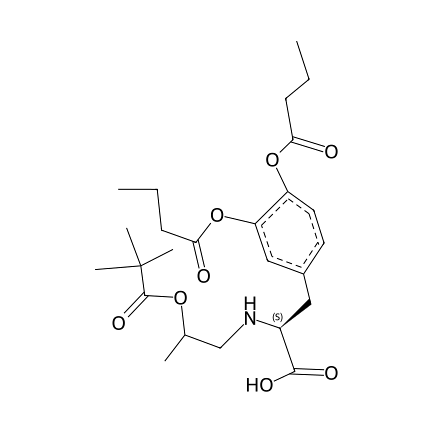 CCCC(=O)Oc1ccc(C[C@H](NCC(C)OC(=O)C(C)(C)C)C(=O)O)cc1OC(=O)CCC